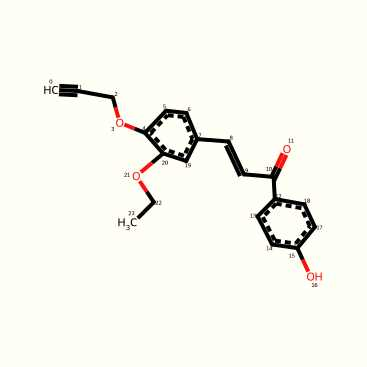 C#CCOc1ccc(/C=C/C(=O)c2ccc(O)cc2)cc1OCC